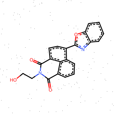 O=C1c2cccc3c(-c4nc5ccccc5o4)ccc(c23)C(=O)N1CCO